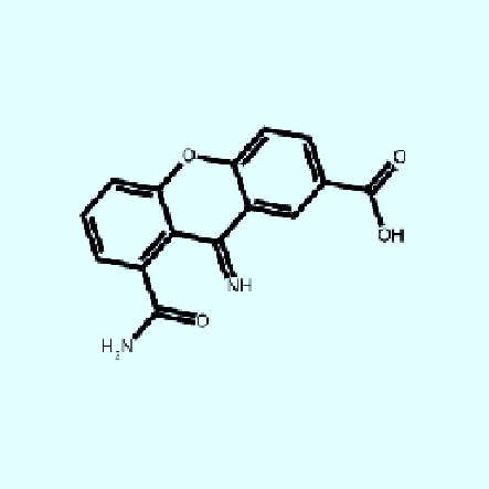 N=c1c2cc(C(=O)O)ccc2oc2cccc(C(N)=O)c12